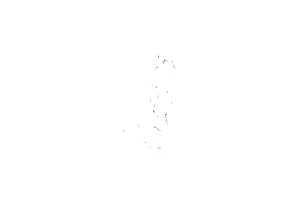 CN(c1ccccc1-c1ccc2cnc(Nc3cccnc3)nn12)S(C)(=O)=O